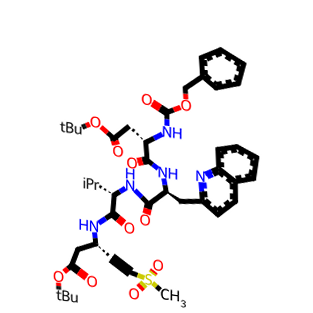 CC(C)[C@H](NC(=O)[C@H](Cc1ccc2ccccc2n1)NC(=O)[C@H](CC(=O)OC(C)(C)C)NC(=O)OCc1ccccc1)C(=O)N[C@H](C#CS(C)(=O)=O)CC(=O)OC(C)(C)C